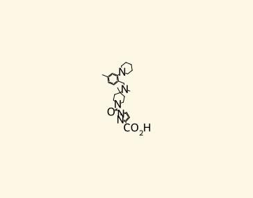 Cc1ccc(CN(C)C2(C)CCN(C(=O)n3ccc(C(=O)O)n3)CC2)c(N2CCCCC2)c1